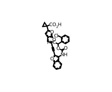 CC(OC(=O)Nc1c(C#Cc2cc3cc(C4(C(=O)O)CC4)oc3o2)oc2ccccc12)c1ccccc1Cl